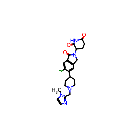 Cn1ccnc1CN1CCC(c2cc3c(cc2F)C(=O)N(C2CCC(=O)NC2=O)C3)CC1